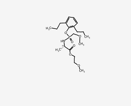 CCCc1cccc(CCC)c1OP(=O)(COC)N[C@@H](C)C(=O)OCCOC